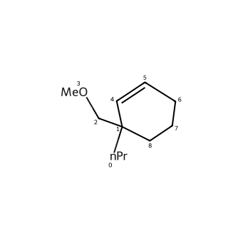 CCCC1(COC)C=CCCC1